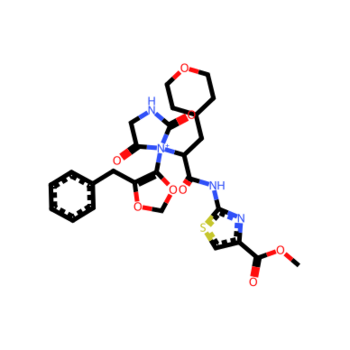 COC(=O)c1csc(NC(=O)C(CC2CCOCC2)[N+]2(C3=C(Cc4ccccc4)OCO3)C(=O)CNC2=O)n1